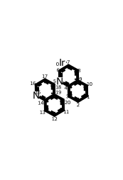 [Ir].c1ccc2ncccc2c1.c1ccc2ncccc2c1